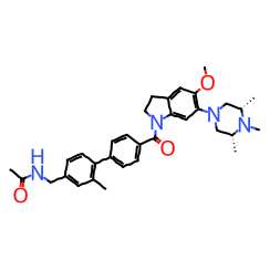 COc1cc2c(cc1N1C[C@@H](C)N(C)[C@@H](C)C1)N(C(=O)c1ccc(-c3ccc(CNC(C)=O)cc3C)cc1)CC2